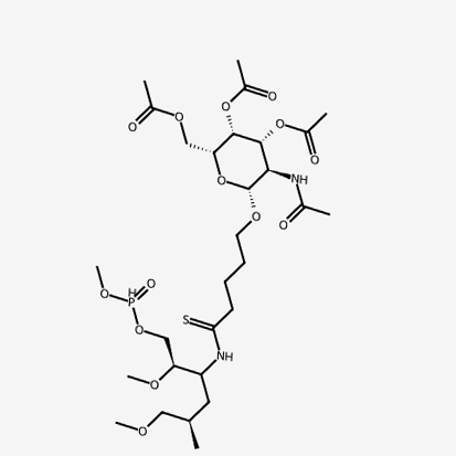 COC[C@H](C)CC(NC(=S)CCCCO[C@@H]1O[C@H](COC(C)=O)[C@H](OC(C)=O)[C@H](OC(C)=O)[C@H]1NC(C)=O)[C@H](CO[PH](=O)OC)OC